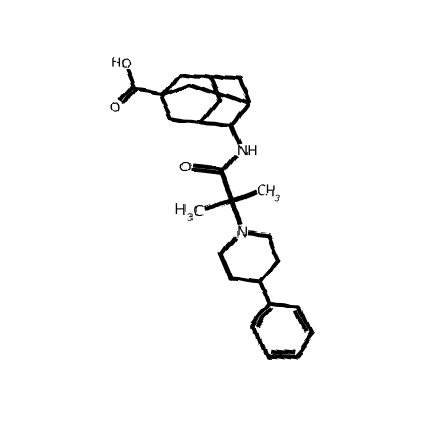 CC(C)(C(=O)NC1C2CC3CC1CC(C(=O)O)(C3)C2)N1CCC(c2ccccc2)CC1